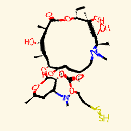 CC[C@H]1OC(=O)[C@H](C)[C@@H](O)[C@H](C)[C@@H](O[C@@H]2O[C@H](C)C[C@H](N(C)C)[C@H]2OC(=O)OCCSS)[C@](C)(O)C[C@@H](C)CN(C)[C@H](C)[C@@H](O)[C@]1(C)O